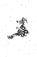 COc1nc(-c2cccc(-c3ccnc(-c4ccc5c(CNC[C@H](C)O)cn(C)c5c4)c3Cl)c2Cl)ccc1CNC[C@@H]1CCC(=O)N1